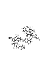 Cc1ncsc1-c1ccc([C@H](C)NC(=O)[C@@H]2C[C@@H](O)CN2C(=O)C(NC(=O)CCCCc2cccc(OC[C@H](CCC(N)=O)NC(=O)[C@@H]3Cc4cccc5c4N3C(=O)[C@@H](NC(=O)OC(C)(C)C)CC5)c2Cl)C(C)(C)C)cc1